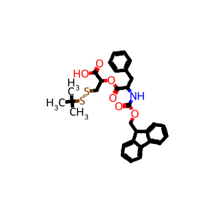 CC(C)(C)SSCC(OC(=O)C(Cc1ccccc1)NC(=O)OCC1c2ccccc2-c2ccccc21)C(=O)O